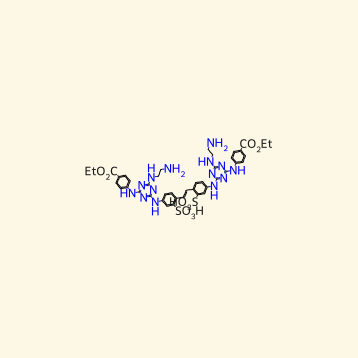 CCOC(=O)c1ccc(Nc2nc(NCCN)nc(Nc3ccc(/C=C/c4ccc(Nc5nc(NCCN)nc(Nc6ccc(C(=O)OCC)cc6)n5)cc4S(=O)(=O)O)c(S(=O)(=O)O)c3)n2)cc1